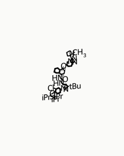 CC(C)[Si](Oc1ccc(-n2nc(C(C)(C)C)cc2NC(=O)N[C@H]2CC[C@@H](Oc3ccc4nnc(C5CCCN5C)n4c3)c3ccccc32)cc1Cl)(C(C)C)C(C)C